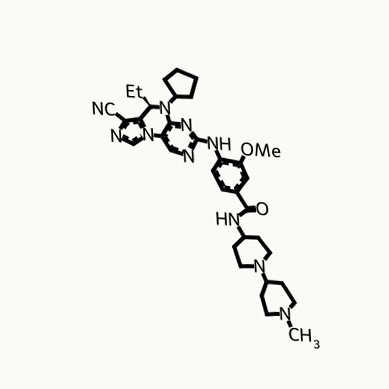 CC[C@@H]1c2c(C#N)ncn2-c2cnc(Nc3ccc(C(=O)NC4CCN(C5CCN(C)CC5)CC4)cc3OC)nc2N1C1CCCC1